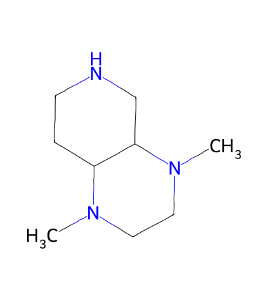 CN1CCN(C)C2CNCCC21